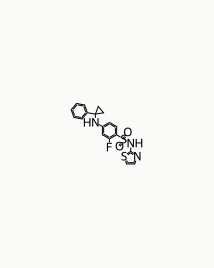 O=S(=O)(Nc1nccs1)c1ccc(NC2(c3ccccc3)CC2)cc1F